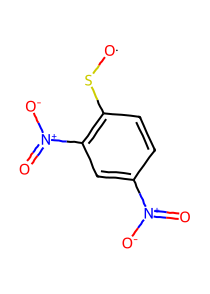 [O]Sc1ccc([N+](=O)[O-])cc1[N+](=O)[O-]